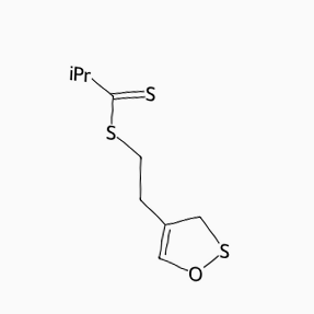 CC(C)C(=S)SCCC1=COSC1